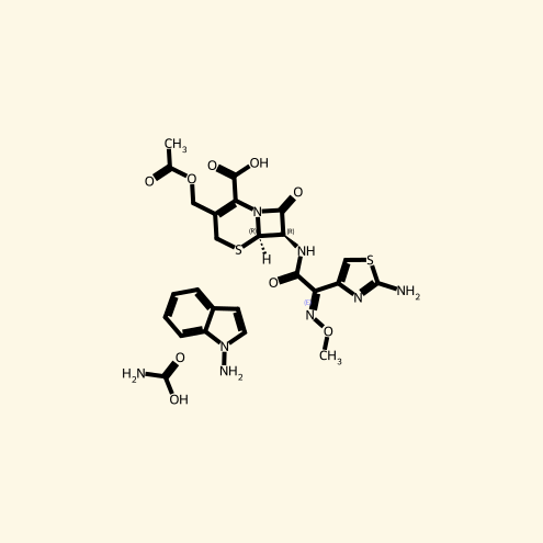 CO/N=C(/C(=O)N[C@@H]1C(=O)N2C(C(=O)O)=C(COC(C)=O)CS[C@H]12)c1csc(N)n1.NC(=O)O.Nn1ccc2ccccc21